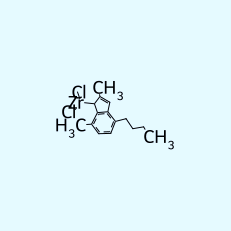 CCCCc1ccc(C)c2c1C=C(C)[CH]2[Zr]([Cl])[Cl]